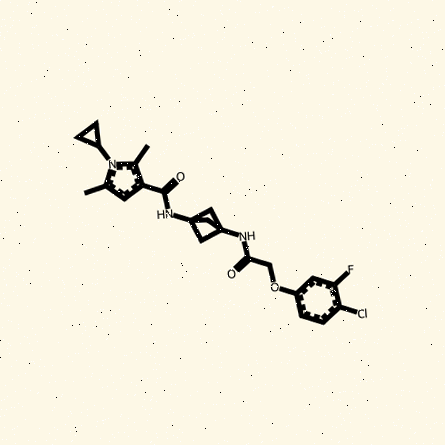 Cc1cc(C(=O)NC23CC(NC(=O)COc4ccc(Cl)c(F)c4)(C2)C3)c(C)n1C1CC1